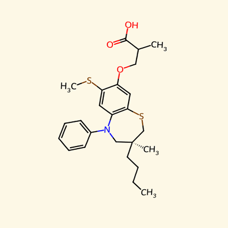 CCCC[C@]1(C)CSc2cc(OCC(C)C(=O)O)c(SC)cc2N(c2ccccc2)C1